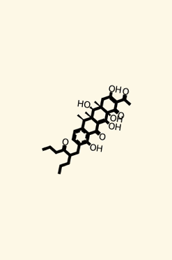 CCCC(=O)C(CCC)Cc1ccc2c(c1O)C(=O)C1=C(O)[C@@]3(O)C(=O)C(C(C)=O)=C(O)C[C@@]3(C)[C@H](O)[C@@]1(C)[C@@H]2C